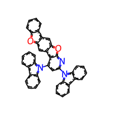 c1ccc2c(c1)oc1cc3c(cc12)oc1nc(-n2c4ccccc4c4ccccc42)cc(-n2c4ccccc4c4ccccc42)c13